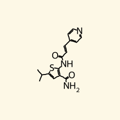 CC(C)c1cc(C(N)=O)c(NC(=O)C=Cc2ccncc2)s1